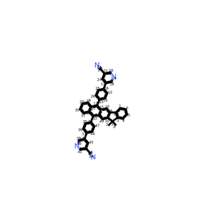 CC1(C)c2ccccc2-c2cc3c(-c4ccc(-c5cncc(C#N)c5)cc4)c4ccccc4c(-c4ccc(-c5cncc(C#N)c5)cc4)c3cc21